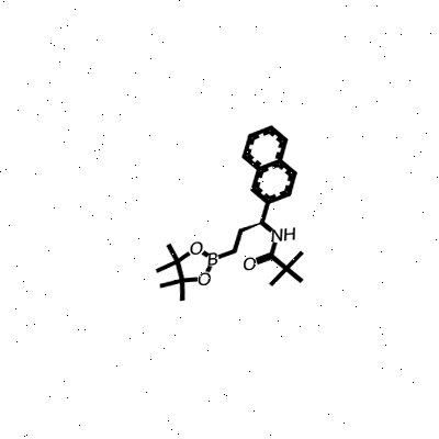 CC(C)(C)C(=O)N[C@@H](CCB1OC(C)(C)C(C)(C)O1)c1ccc2ccccc2c1